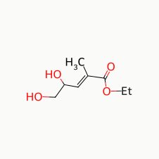 CCOC(=O)C(C)=CC(O)CO